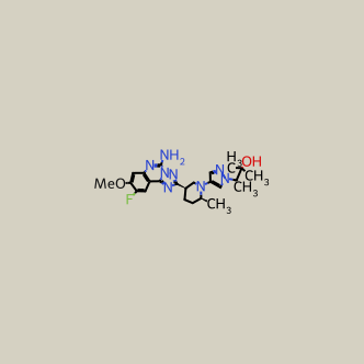 COc1cc2nc(N)n3nc([C@@H]4CC[C@H](C)N(c5cnn([C@H](C)C(C)(C)O)c5)C4)nc3c2cc1F